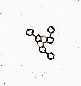 c1ccc(-c2cc3c4c(c2)Oc2c(cccc2-c2ccccc2)B4c2cc(-c4ccccc4)ccc2O3)cc1